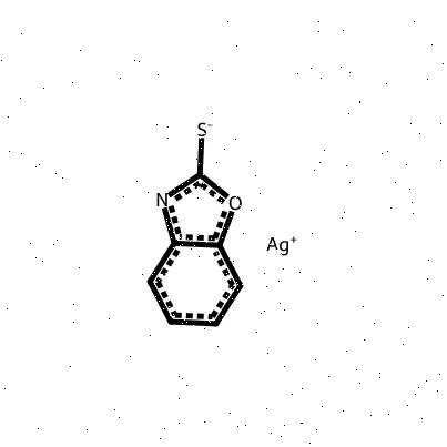 [Ag+].[S-]c1nc2ccccc2o1